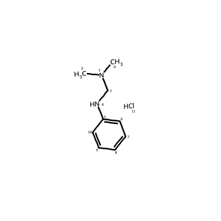 CN(C)CNc1ccccc1.Cl